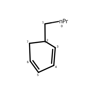 CCCC[C]1C=CC=CC1